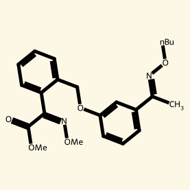 CCCCON=C(C)c1cccc(OCc2ccccc2C(=NOC)C(=O)OC)c1